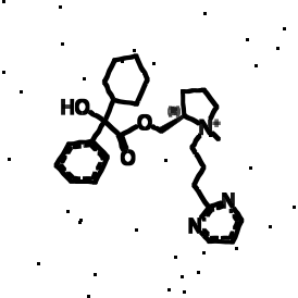 C[N+]1(CCCc2ncccn2)CCC[C@@H]1COC(=O)C(O)(c1ccccc1)C1CCCCC1